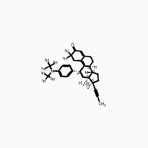 [2H]C1([2H])CC2=C3[C@@H](CCC2=CC1=O)[C@@H]1CC[C@@](O)(C#CC)[C@@]1(C)C[C@@H]3c1ccc(N(C([2H])([2H])[2H])C([2H])([2H])[2H])cc1